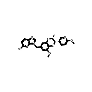 [2H]c1ccc2ncn(Cc3cc(OC)c4c(c3)O[C@@H](C)[C@H](c3ccc(OC)nc3)O4)c2n1